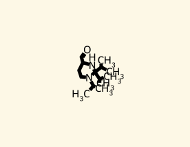 CC(C)N1CCC(C=O)NC1(C(C)C)C(C)C